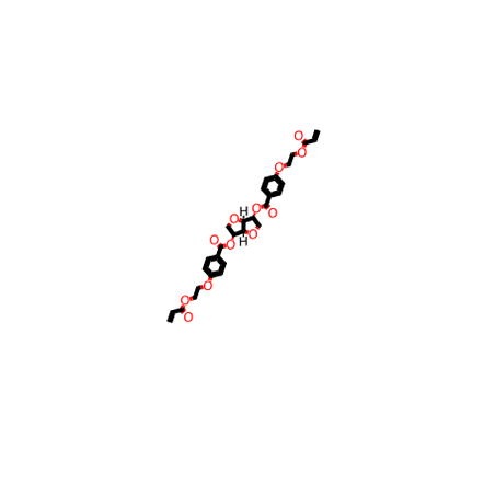 C=CC(=O)OCCOc1ccc(C(=O)O[C@H]2CO[C@@H]3[C@H]2OC[C@@H]3OC(=O)c2ccc(OCCOC(=O)C=C)cc2)cc1